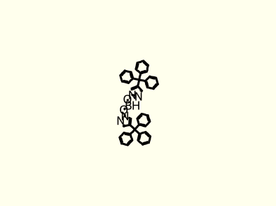 B(On1cc(C(c2ccccc2)(c2ccccc2)c2ccccc2)cn1)On1cc(C(c2ccccc2)(c2ccccc2)c2ccccc2)cn1